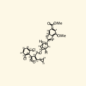 COC(=O)c1cc(OC)c2nc(N3C[C@H]4C[C@@H]3C[C@@H]4OCc3c(-c4c(Cl)cccc4Cl)noc3C3CC3)sc2c1